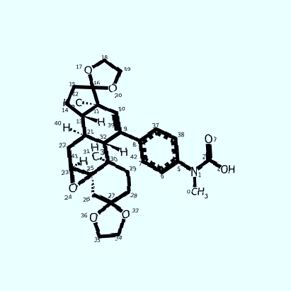 CN(C(=O)O)c1ccc(C2=C[C@@]3(C)[C@@H](CCC34OCCO4)[C@@H]3C[C@@H]4O[C@@]45CC4(CC[C@]5(C)[C@@H]23)OCCO4)cc1